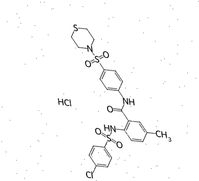 Cc1ccc(NS(=O)(=O)c2ccc(Cl)cc2)c(C(=O)Nc2ccc(S(=O)(=O)N3CCSCC3)cc2)c1.Cl